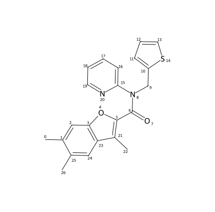 Cc1cc2oc(C(=O)N(Cc3cccs3)c3ccccn3)c(C)c2cc1C